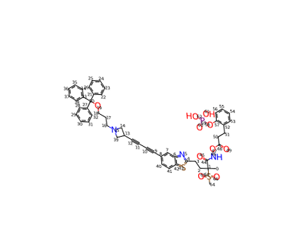 CC(CCc1nc2cc(C#CC#CC3CN(CCCOC(c4ccccc4)(c4ccccc4)c4ccccc4)C3)ccc2s1)(C(=O)NOC(=O)CCc1ccccc1OP(=O)(O)O)S(C)(=O)=O